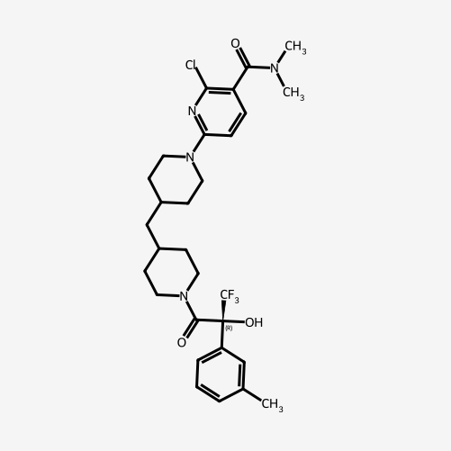 Cc1cccc([C@@](O)(C(=O)N2CCC(CC3CCN(c4ccc(C(=O)N(C)C)c(Cl)n4)CC3)CC2)C(F)(F)F)c1